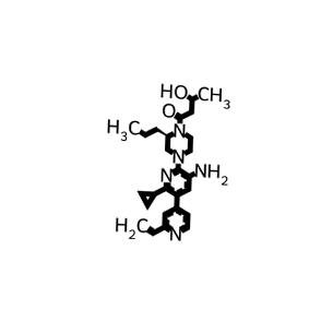 C=Cc1cc(-c2cc(N)c(N3CCN(C(=O)CC(C)O)[C@H](CCC)C3)nc2C2CC2)ccn1